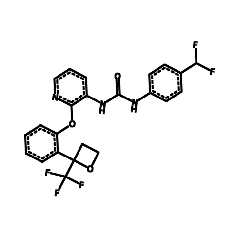 O=C(Nc1ccc(C(F)F)cc1)Nc1cccnc1Oc1ccccc1C1(C(F)(F)F)CCO1